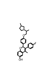 CC1=C(c2ccc(F)cc2)C(c2ccc(OCC(C)N3CCC(C)C3)cc2)Oc2ccc(O)cc21